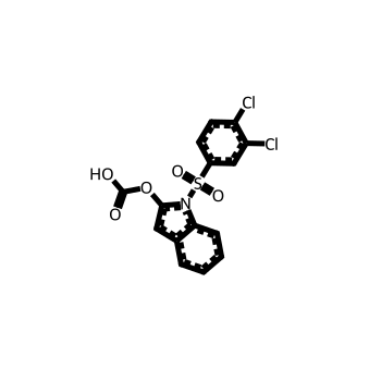 O=C(O)Oc1cc2ccccc2n1S(=O)(=O)c1ccc(Cl)c(Cl)c1